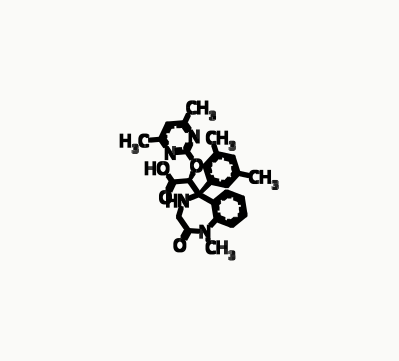 Cc1cc(C)cc([C@]2([C@H](Oc3nc(C)cc(C)n3)C(=O)O)NCC(=O)N(C)c3ccccc32)c1